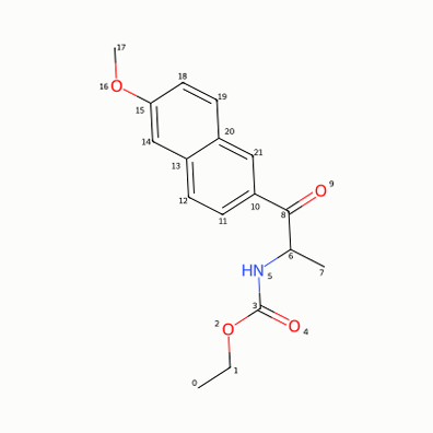 CCOC(=O)NC(C)C(=O)c1ccc2cc(OC)ccc2c1